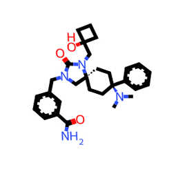 CN(C)[C@]1(c2ccccc2)CC[C@]2(CC1)CN(Cc1cccc(C(N)=O)c1)C(=O)N2CC1(O)CCC1